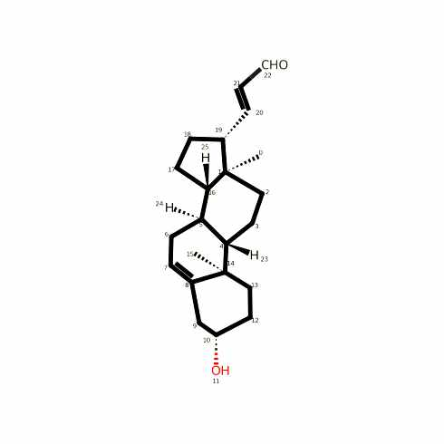 C[C@]12CC[C@H]3[C@@H](CC=C4C[C@@H](O)CC[C@@]43C)[C@@H]1CC[C@@H]2/C=C/C=O